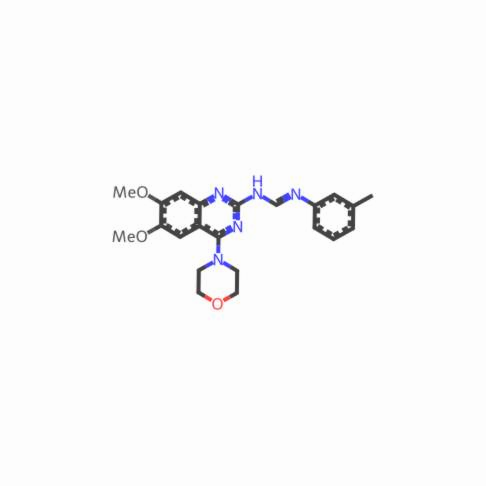 COc1cc2nc(N/C=N/c3cccc(C)c3)nc(N3CCOCC3)c2cc1OC